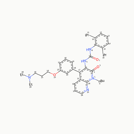 CCCCn1c(=O)c(NC(=O)Nc2c(C(C)C)cccc2C(C)C)c(-c2cccc(OCCCN(CC)CC)c2)c2cccnc21